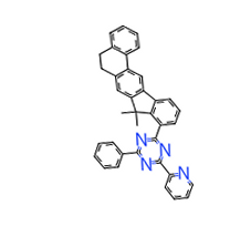 CC1(C)c2cc3c(cc2-c2cccc(-c4nc(-c5ccccc5)nc(-c5ccccn5)n4)c21)-c1ccccc1CC3